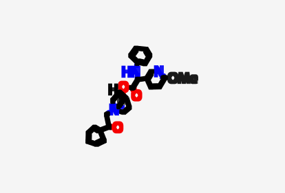 COc1ccc(C(Nc2ccccc2)C(=O)O[C@H]2C[N+]3(CC(=O)c4ccccc4)CCC2CC3)cn1